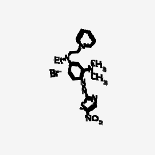 CCN(CC[n+]1ccccc1)c1ccc(N=Nc2ncc([N+](=O)[O-])s2)c(N(C)C)c1.[Br-]